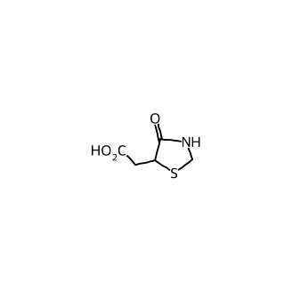 O=C(O)CC1SCNC1=O